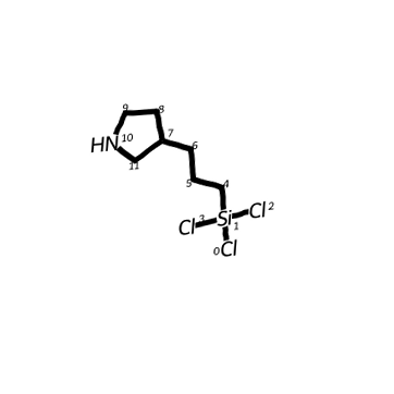 Cl[Si](Cl)(Cl)CCCC1CCNC1